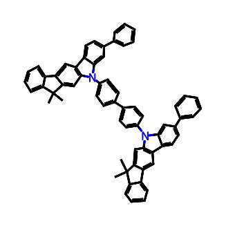 CC1(C)c2ccccc2-c2cc3c4ccc(-c5ccccc5)cc4n(-c4ccc(-c5ccc(-n6c7cc(-c8ccccc8)ccc7c7cc8c(cc76)C(C)(C)c6ccccc6-8)cc5)cc4)c3cc21